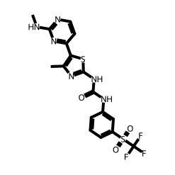 CNc1nccc(-c2sc(NC(=O)Nc3cccc(S(=O)(=O)C(F)(F)F)c3)nc2C)n1